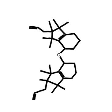 C=CCC1(C)C(C)(C)C2=C(C(OC3CCCC4=C3C(C)(C)C(C)(CC=C)C4(C)C)CCC2)C1(C)C